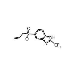 C=CCS(=O)(=O)c1ccc2[nH]c(C(F)(F)F)nc2c1